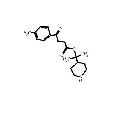 Cc1ccc(C(=O)CCC(=O)OC(C)(C)C2CCNCC2)cc1